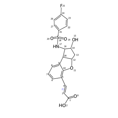 O=C(O)/C=C/c1cccc2c1OC1CC(O)C(NS(=O)(=O)c3ccc(F)cc3)C21